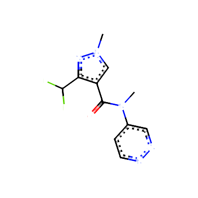 CN(C(=O)c1cn(C)nc1C(F)F)c1ccnnc1